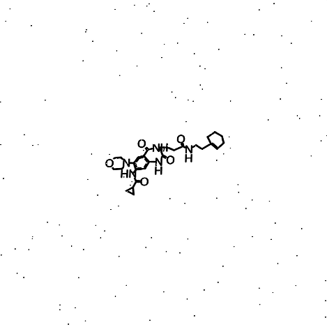 O=C(CC[C@H]1NC(=O)c2cc(N3CCOCC3)c(NC(=O)C3CC3)cc2NC1=O)NCCC1=CCCCC1